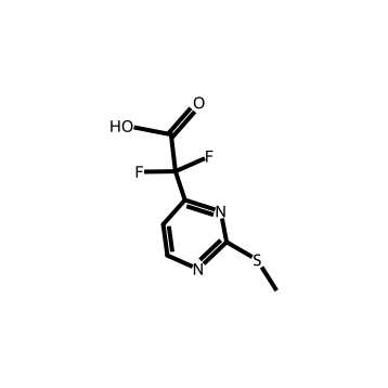 CSc1nccc(C(F)(F)C(=O)O)n1